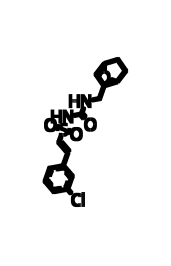 O=C(NCC1CC2CCC1O2)NS(=O)(=O)C=Cc1cccc(Cl)c1